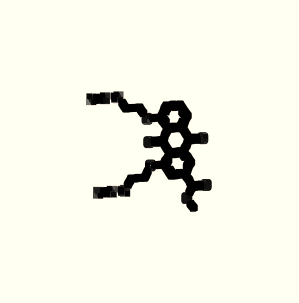 COC(=O)c1cc(OCCN=[N+]=[N-])c2c(c1)C(=O)c1cccc(OCCN=[N+]=[N-])c1C2=O